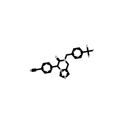 N#Cc1ccc(C2C(=O)N(Cc3ccc(C(F)(F)F)cc3)Cc3cncn32)cc1